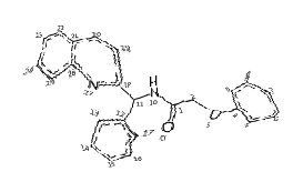 O=C(COc1ccccc1)NC(c1ccccc1)c1ccc2ccc[c]c2n1